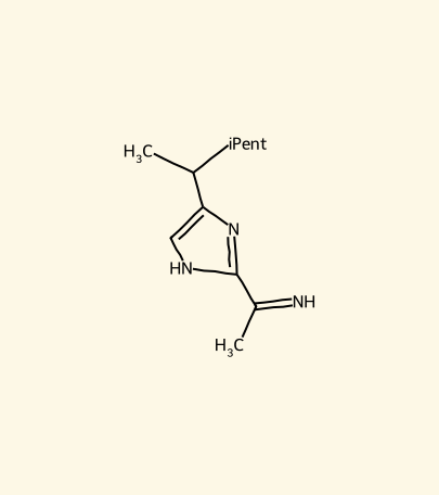 CCCC(C)C(C)c1c[nH]c(C(C)=N)n1